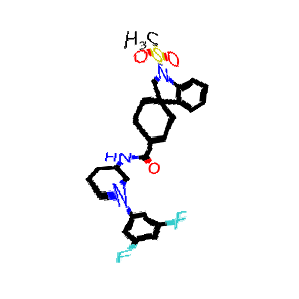 CS(=O)(=O)N1CC2(CCC(C(=O)NC3CCCN(c4cc(F)cc(F)c4)C3)CC2)c2ccccc21